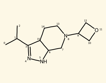 CC(C)C1=NNC2CN(C3COC3)CCC12